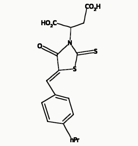 CCCc1ccc(/C=C2\SC(=S)N(C(CC(=O)O)C(=O)O)C2=O)cc1